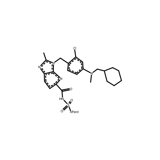 CCCCCS(=O)(=O)NC(=O)c1ccc2nc(C)n(Cc3ccc(N(C)CC4CCCCC4)cc3Cl)c2n1